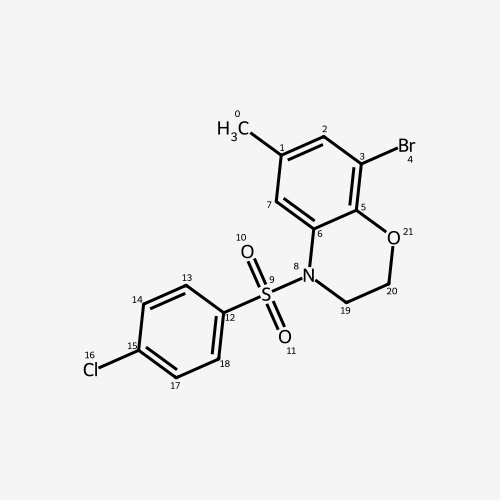 Cc1cc(Br)c2c(c1)N(S(=O)(=O)c1ccc(Cl)cc1)CCO2